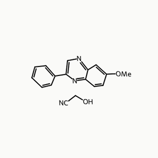 COc1ccc2nc(-c3ccccc3)cnc2c1.N#CCO